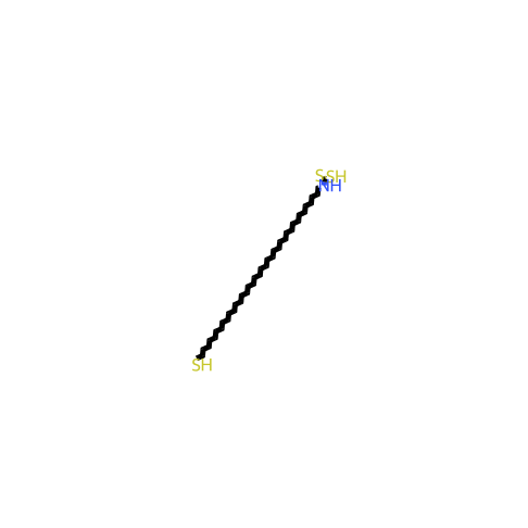 S=C(S)NCCCCCCCCCCCCCCCCCCCCCCCCCCCCCCCCCCCCCCCS